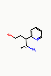 C[C@H](N)C(CCO)c1ccccn1